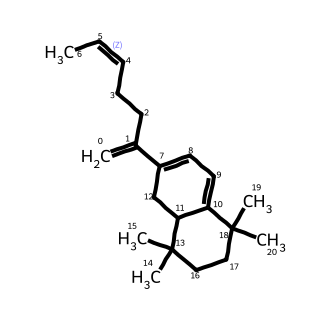 C=C(CC/C=C\C)C1=CC=C2C(C1)C(C)(C)CCC2(C)C